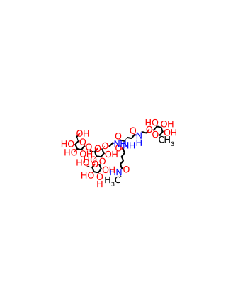 CCNC(=O)CCCCC(=O)N[C@@H](CCC(=O)NCCO[C@@H]1O[C@@H](C)[C@@H](O)[C@@H](O)[C@@H]1O)C(=O)NCCO[C@H]1O[C@H](CO[C@H]2O[C@H](CO)[C@@H](O)[C@H](O)[C@@H]2O)[C@@H](O)[C@H](O[C@H]2O[C@H](CO)[C@@H](O)[C@H](O)[C@@H]2O)[C@@H]1O